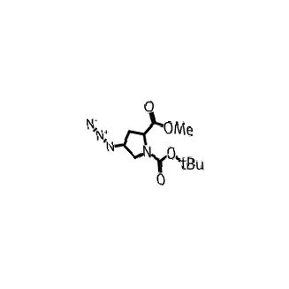 COC(=O)C1CC(N=[N+]=[N-])CN1C(=O)OC(C)(C)C